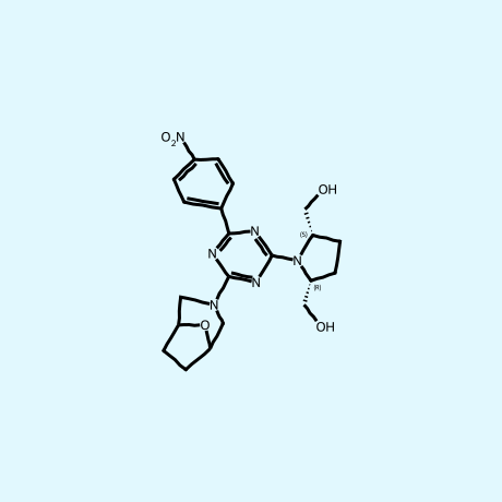 O=[N+]([O-])c1ccc(-c2nc(N3CC4CCC(C3)O4)nc(N3[C@H](CO)CC[C@@H]3CO)n2)cc1